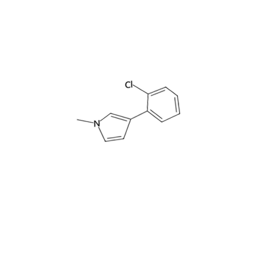 Cn1ccc(-c2ccccc2Cl)c1